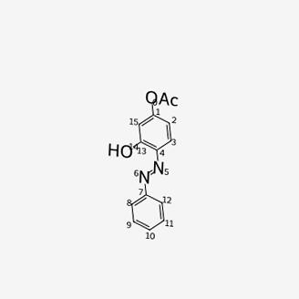 CC(=O)Oc1ccc(N=Nc2ccccc2)c(O)c1